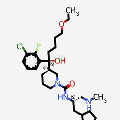 CCOCCCC[C@@](O)(c1cccc(Cl)c1F)[C@@H]1CCCN(C(=O)N[C@H](CNC)CC2CCCC2)C1